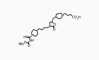 CC(C)(C)OC(=O)NC(=N)N1CCC(CCCCN2CC(CN3CCN(CCCC(=O)O)CC3)OC2=O)CC1